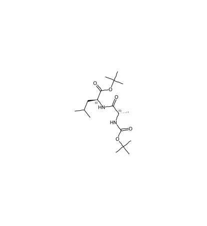 CC(C)C[C@H](NC(=O)[C@H](C)NC(=O)OC(C)(C)C)C(=O)OC(C)(C)C